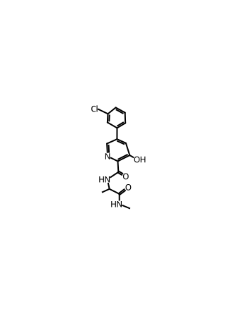 CNC(=O)C(C)NC(=O)c1ncc(-c2cccc(Cl)c2)cc1O